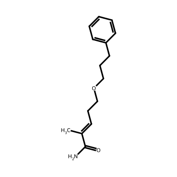 C/C(=C\CCOCCCc1ccccc1)C(N)=O